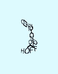 O=C(OC(CO)C(F)(F)F)N1CCC(c2ccnc(N3CCOCC3)n2)CC1